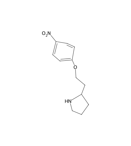 O=[N+]([O-])c1ccc(OCCC2CCCN2)cc1